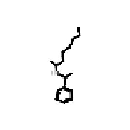 CCCCCCC(C)NC(C)c1ccccc1